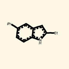 CCc1cc2cc(C(C)C)ccc2[nH]1